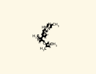 Cc1cnc(Nc2cc3cc(-c4c(COC5CN(C)CC5C)cnn4C)ccn3n2)cn1